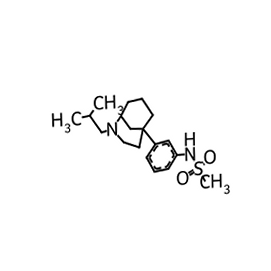 CC(C)CN1CCC2(c3cccc(NS(C)(=O)=O)c3)CCCC1C2